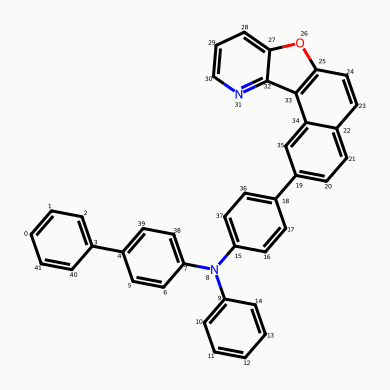 c1ccc(-c2ccc(N(c3ccccc3)c3ccc(-c4ccc5ccc6oc7cccnc7c6c5c4)cc3)cc2)cc1